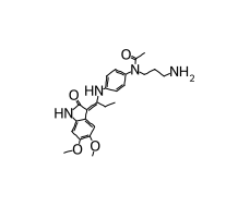 CC/C(Nc1ccc(N(CCCN)C(C)=O)cc1)=C1/C(=O)Nc2cc(OC)c(OC)cc21